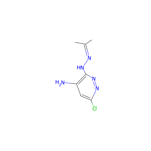 CC(C)=NNc1nnc(Cl)cc1N